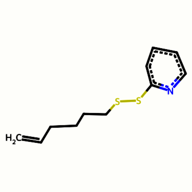 C=CCCCCSSc1ccccn1